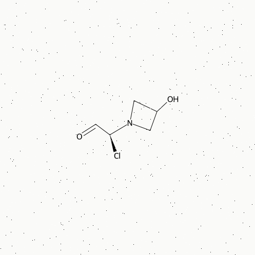 O=C[C@H](Cl)N1CC(O)C1